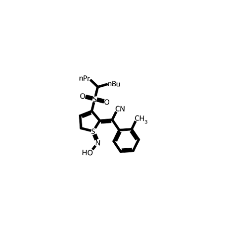 CCCCC(CCC)S(=O)(=O)C1=CCS(=NO)C1=C(C#N)c1ccccc1C